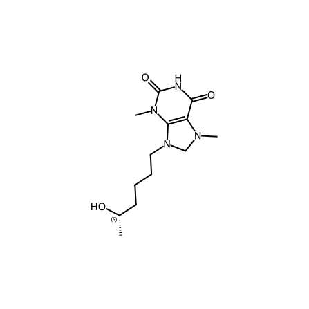 C[C@H](O)CCCCN1CN(C)c2c1n(C)c(=O)[nH]c2=O